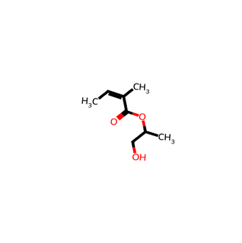 CC=C(C)C(=O)OC(C)CO